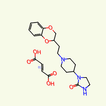 O=C(O)/C=C/C(=O)O.O=C1NCCN1C1CCN(CCC2COc3ccccc3O2)CC1